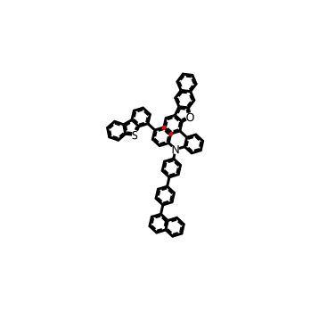 c1ccc(N(c2ccc(-c3ccc(-c4cccc5ccccc45)cc3)cc2)c2ccc(-c3cccc4c3sc3ccccc34)cc2)c(-c2cccc3c2oc2cc4ccccc4cc23)c1